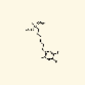 CO[Si](C)(CCCCCCc1cc(F)c(F)cc1F)OC